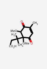 COC1C(=O)C(C)=CC(=O)C1(OC)C(C)(C)CC(=O)O